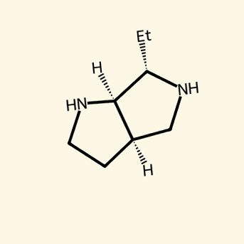 CC[C@@H]1NC[C@H]2CCN[C@H]21